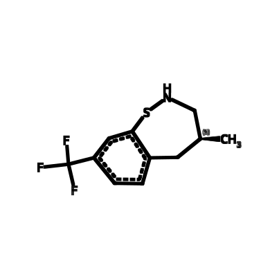 C[C@@H]1CNSc2cc(C(F)(F)F)ccc2C1